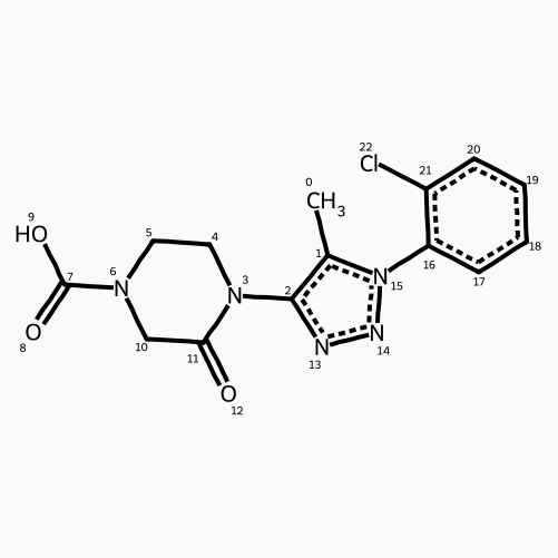 Cc1c(N2CCN(C(=O)O)CC2=O)nnn1-c1ccccc1Cl